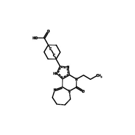 CCCN1C(=O)N2CCCCN=C2c2[nH]c(C34CCC(C(=O)O)(CC3)CC4)nc21